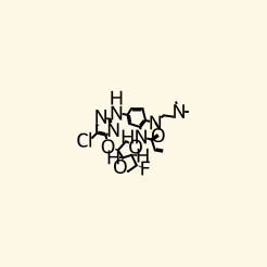 C=CC(=O)Nc1cc(Nc2ncc(Cl)c(O[C@@H]3CO[C@H]4[C@@H]3OC[C@H]4F)n2)ccc1N(C)CCN(C)C